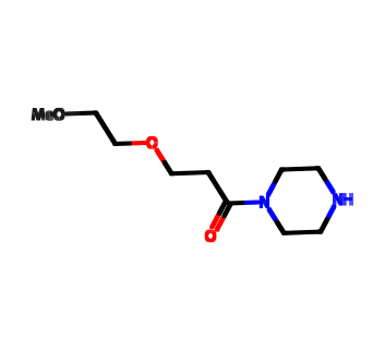 COCCOCCC(=O)N1CCNCC1